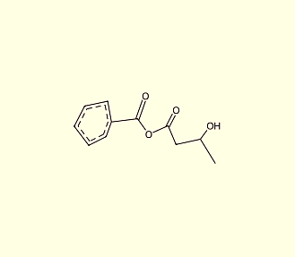 CC(O)CC(=O)OC(=O)c1ccccc1